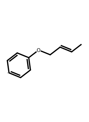 C/C=C/COc1cc[c]cc1